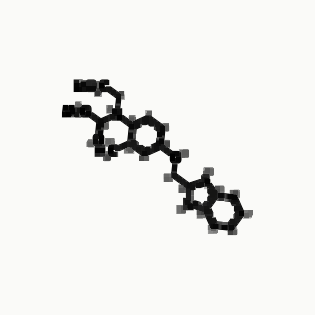 CCOC(=O)CN(C(=O)OC)c1ccc(OCc2nc3ccccc3s2)cc1C